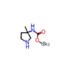 CC1(NC(=O)OC(C)(C)C)CCNC1